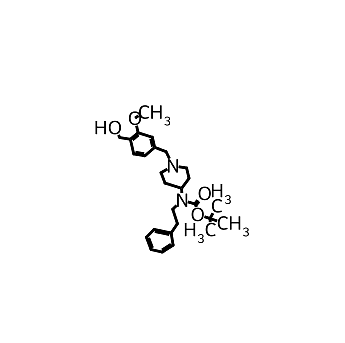 COc1cc(CN2CCC(N(CCc3ccccc3)C(=O)OC(C)(C)C)CC2)ccc1CO